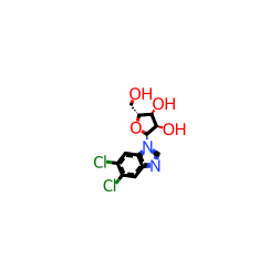 OC[C@H]1O[C@@H](n2cnc3cc(Cl)c(Cl)cc32)[C@H](O)[C@@H]1O